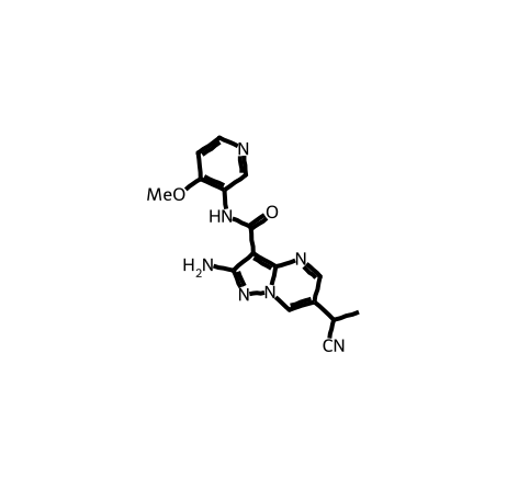 COc1ccncc1NC(=O)c1c(N)nn2cc(C(C)C#N)cnc12